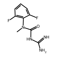 CN(C(=O)NC(=N)N)c1c(F)cccc1F